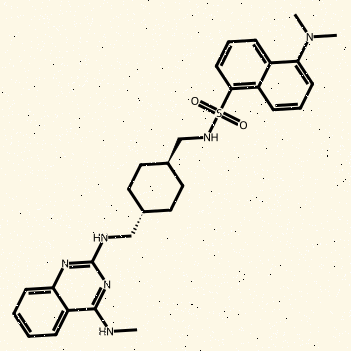 CNc1nc(NC[C@H]2CC[C@H](CNS(=O)(=O)c3cccc4c(N(C)C)cccc34)CC2)nc2ccccc12